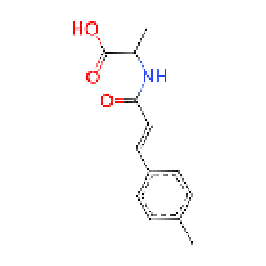 Cc1ccc(/C=C/C(=O)NC(C)C(=O)O)cc1